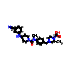 C[C@H]1CN(Cc2ccc(N(C)C(=O)N3CCC(Nc4cccc(C#N)c4)CC3)cc2)CCN1C(=O)O